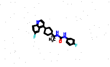 C[C@@H](NC(=O)Nc1ccc(F)cc1)C1CCC(c2ccnc3ccc(F)cc23)CC1